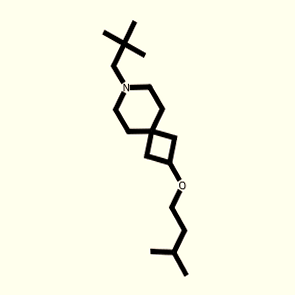 CC(C)CCOC1CC2(CCN(CC(C)(C)C)CC2)C1